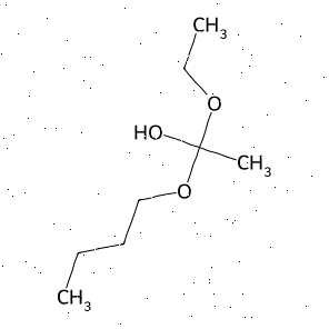 CCCCOC(C)(O)OCC